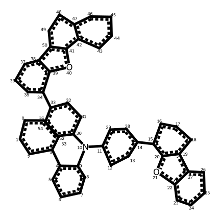 c1ccc(-c2ccccc2N(c2ccc(-c3cccc4c3oc3ccccc34)cc2)c2ccc(-c3cccc4c3oc3c5ccccc5ccc43)cc2)cc1